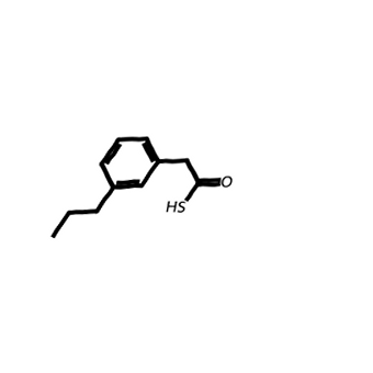 CCCc1cccc(CC(=O)S)c1